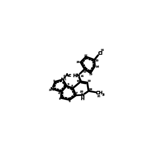 CC(=O)n1cnc2ccc3c(c21)C(Nc1ccc(Cl)cc1)=CC(C)N3